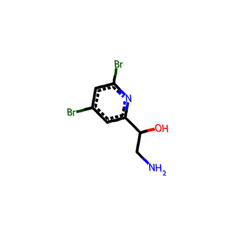 NCC(O)c1cc(Br)cc(Br)n1